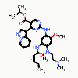 C=C/C=C\C(=O)Nc1cc(Nc2ncc(C(=O)OC(C)C)c(-c3cnn4ccccc34)n2)c(OC)cc1N(C)CCN(C)C